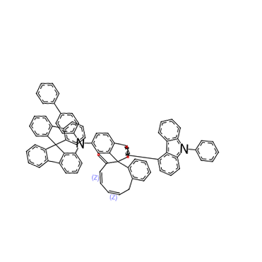 C=C1/C=C\C=C/Cc2ccccc2C12c1cc(-c3cccc4c3c3ccccc3n4-c3ccccc3)ccc1-c1ccc(N(c3ccc(-c4ccccc4)cc3)c3cccc4c3C3(c5ccccc5-c5ccccc53)c3ccccc3-4)cc12